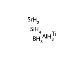 B.[AlH3].[SiH4].[SrH2].[Ti]